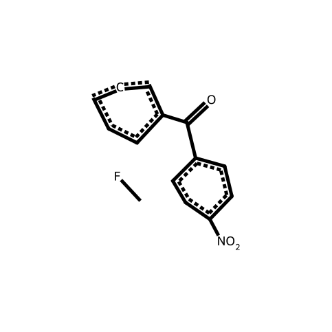 CF.O=C(c1ccccc1)c1ccc([N+](=O)[O-])cc1